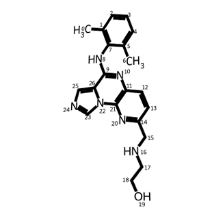 Cc1cccc(C)c1Nc1nc2ccc(CNCCO)nc2n2cncc12